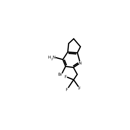 Nc1c(Br)c(CC(F)(F)F)nc2c1CCC2